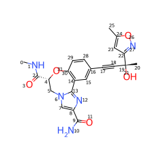 CNC(=O)[C@H]1Cn2cc(C(N)=O)nc2-c2cc(C#C[C@@](C)(O)c3cc(C)on3)ccc2O1